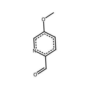 COc1ccc(C=O)nc1